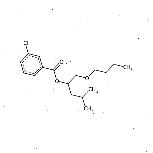 CCCCOCC(CC(C)C)OC(=O)c1cccc(Cl)c1